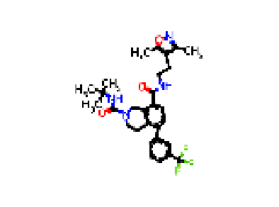 Cc1noc(C)c1CCNC(=O)c1ccc(-c2cccc(C(F)(F)F)c2)c2c1CN(C(=O)NC(C)(C)C)CC2